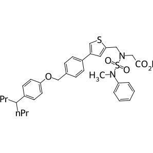 CCCC(CCC)c1ccc(OCc2ccc(-c3csc(CN(CC(=O)O)S(=O)(=O)N(C)c4ccccc4)c3)cc2)cc1